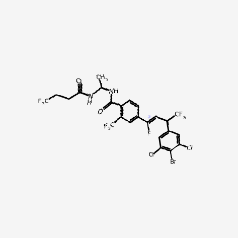 CC(NC(=O)CCC(F)(F)F)NC(=O)c1ccc(/C(F)=C/C(c2cc(Cl)c(Br)c(Cl)c2)C(F)(F)F)cc1C(F)(F)F